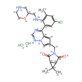 Cc1cc(Cl)cc(-c2ncnn3cc(CN4C(=O)C5C(C4=O)C5(C)C)cc23)c1NCC1CNCCO1.Cl.Cl